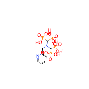 O=P(O)(O)C(N(Cc1ccccn1)C(P(=O)(O)O)P(=O)(O)O)P(=O)(O)O